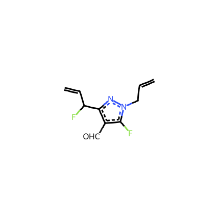 C=CCn1nc(C(F)C=C)c(C=O)c1F